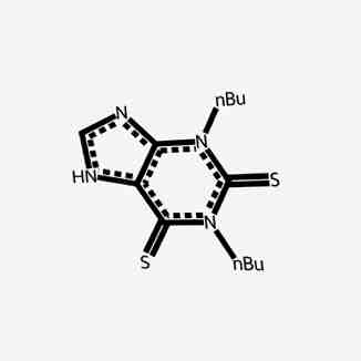 CCCCn1c(=S)c2[nH]cnc2n(CCCC)c1=S